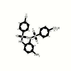 Nc1ccc(NS(=O)(=O)c2ccc(Cl)cc2)c(NS(=O)(=O)c2ccc(C(=O)O)cc2)c1